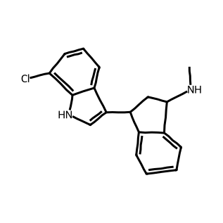 CNC1CC(c2c[nH]c3c(Cl)cccc23)c2ccccc21